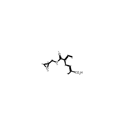 CC=C(CC=C(C)C(=O)O)C(=O)OCC1CO1